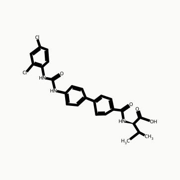 CC(C)[C@@H](NC(=O)c1ccc(-c2ccc(NC(=O)Nc3ccc(Cl)cc3Cl)cc2)cc1)C(=O)O